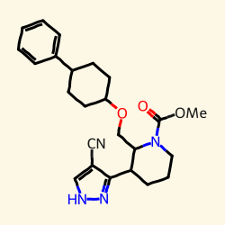 COC(=O)N1CCCC(c2n[nH]cc2C#N)C1COC1CCC(c2ccccc2)CC1